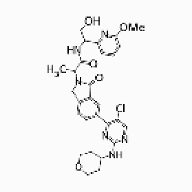 COc1cccc(C(CO)NC(=O)C(C)N2Cc3ccc(-c4nc(NC5CCOCC5)ncc4Cl)cc3C2=O)n1